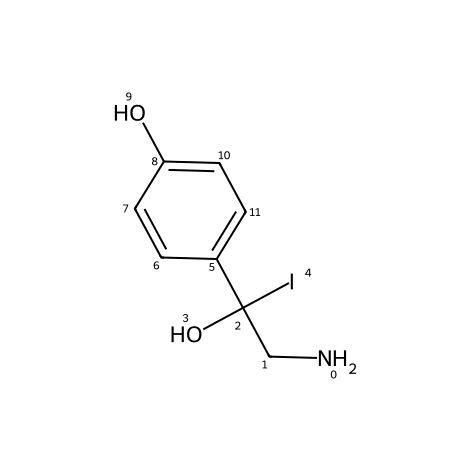 NCC(O)(I)c1ccc(O)cc1